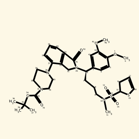 COc1ccc([C@@H](CCCN(C)S(=O)(=O)C2CC=CS2)N2Cc3c(cccc3N3CCN(C(=O)OC(C)(C)C)CC3)C2=O)cc1OC